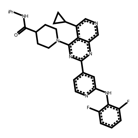 CC(C)NC(=O)C1CCN(c2nc(-c3ccnc(Nc4c(F)cccc4F)c3)nc3cncc(C4CC4)c23)CC1